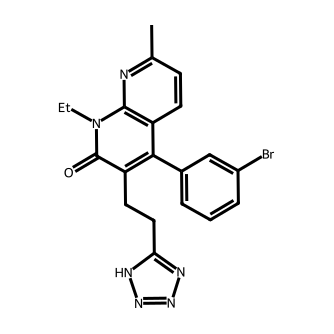 CCn1c(=O)c(CCc2nnn[nH]2)c(-c2cccc(Br)c2)c2ccc(C)nc21